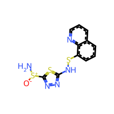 N[S+]([O-])c1nnc(NSc2cccc3cccnc23)s1